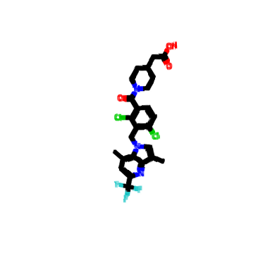 Cc1cn(Cc2c(Cl)ccc(C(=O)N3CCC(CC(=O)O)CC3)c2Cl)c2c(C)cc(C(F)(F)F)nc12